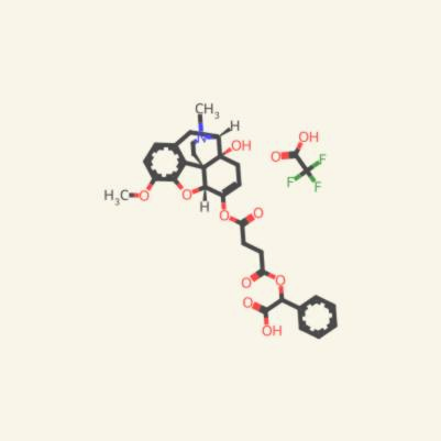 COc1ccc2c3c1O[C@H]1C(OC(=O)CCC(=O)OC(C(=O)O)c4ccccc4)=CC[C@@]4(O)[C@@H](C2)N(C)CC[C@]314.O=C(O)C(F)(F)F